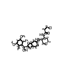 COc1cc(OC)c(F)c(C(O)c2nc3cnc(NC4COCCC4NC(=O)/C=C\Cl)cc3o2)c1F